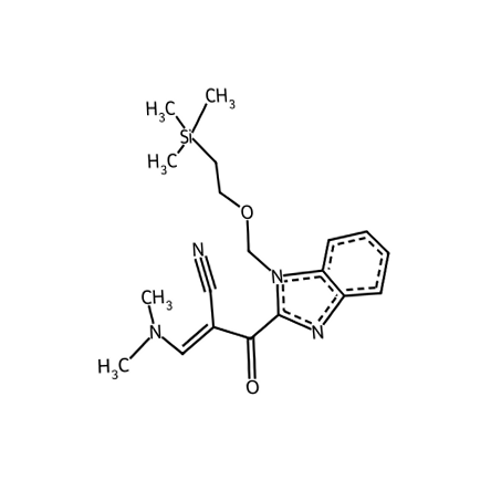 CN(C)/C=C(\C#N)C(=O)c1nc2ccccc2n1COCC[Si](C)(C)C